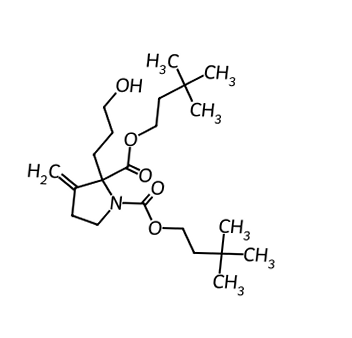 C=C1CCN(C(=O)OCCC(C)(C)C)C1(CCCO)C(=O)OCCC(C)(C)C